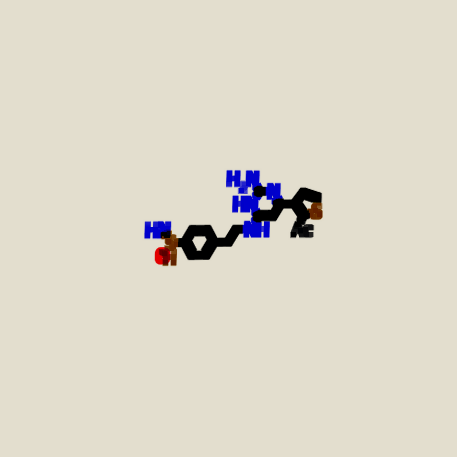 CC(=O)c1sccc1C1=NC(N)NC(NCCc2ccc([SH](=N)=O)cc2)=C1